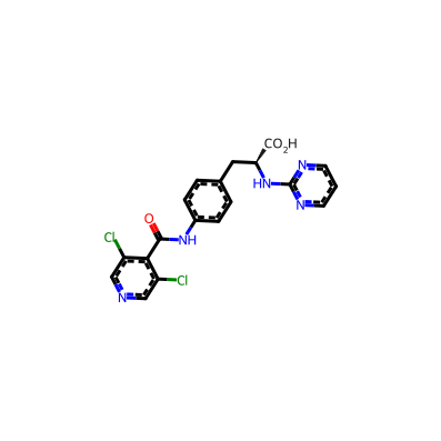 O=C(Nc1ccc(C[C@H](Nc2ncccn2)C(=O)O)cc1)c1c(Cl)cncc1Cl